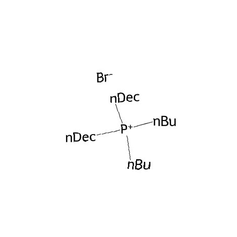 CCCCCCCCCC[P+](CCCC)(CCCC)CCCCCCCCCC.[Br-]